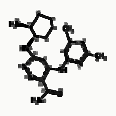 Cc1cc(C)nc(Nc2cc(N[C@@H]3CCCC[C@@H]3N)nnc2C(N)=O)c1